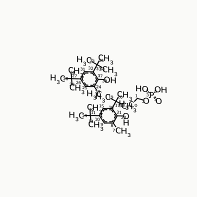 CCOP(=O)(O)O.Cc1cc(C(C)(C)C)cc(C(C)(C)C)c1O.Cc1cc(C(C)(C)C)cc(C(C)(C)C)c1O